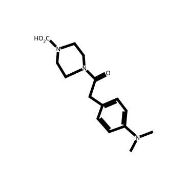 CN(C)c1ccc(CC(=O)N2CCN(C(=O)O)CC2)cc1